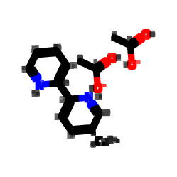 CC(=O)[O-].CC(=O)[O-].[Cu+2].c1ccc(-c2ccccn2)nc1